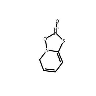 [O-][NH+]1ON2CC=CC=C2S1